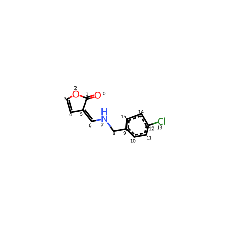 O=C1OC=CC1=CNCc1ccc(Cl)cc1